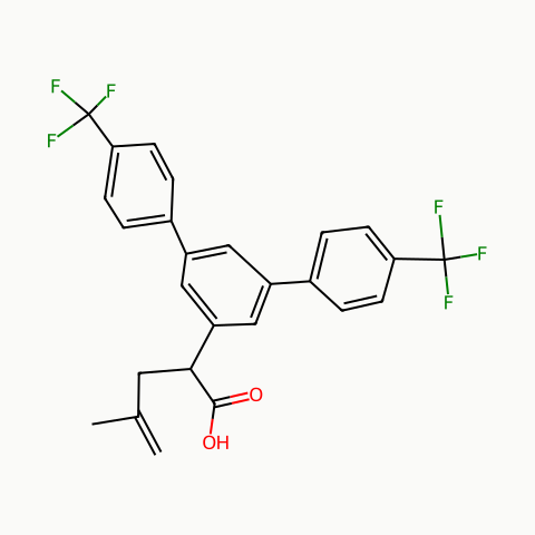 C=C(C)CC(C(=O)O)c1cc(-c2ccc(C(F)(F)F)cc2)cc(-c2ccc(C(F)(F)F)cc2)c1